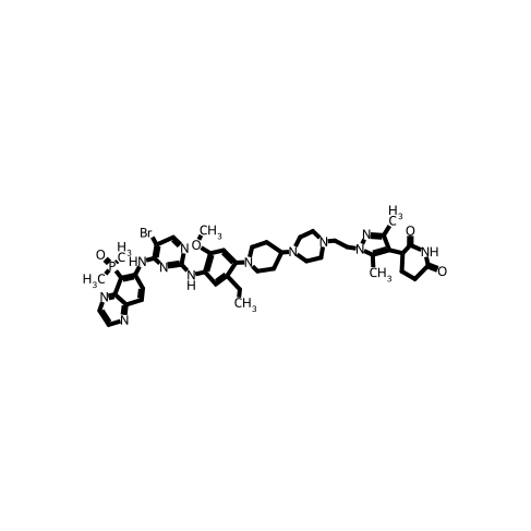 CCc1cc(Nc2ncc(Br)c(Nc3ccc4nccnc4c3P(C)(C)=O)n2)c(OC)cc1N1CCC(N2CCN(CCn3nc(C)c(C4CCC(=O)NC4=O)c3C)CC2)CC1